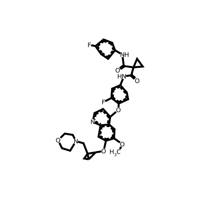 COc1cc2c(Oc3ccc(NC(=O)C4(C(=O)Nc5ccc(F)cc5)CC4)cc3F)ccnc2cc1OC1C2CC21CN1CCOCC1